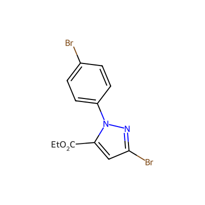 CCOC(=O)c1cc(Br)nn1-c1ccc(Br)cc1